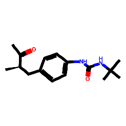 CC(=O)[C@H](C)Cc1ccc(NC(=O)NC(C)(C)C)cc1